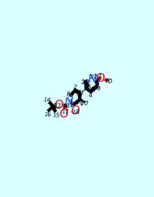 COc1ccc([C@H]2CCN(C(=O)OC(C)(C)C)C(=O)[C@@H]2C)cn1